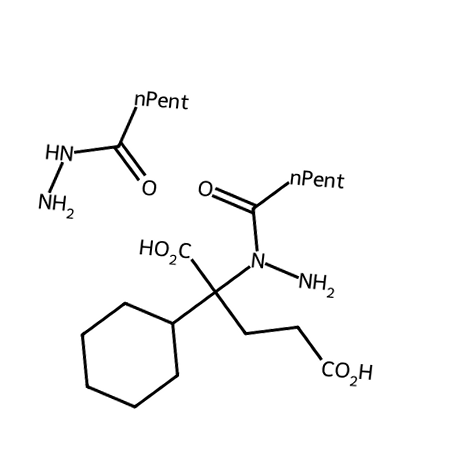 CCCCCC(=O)N(N)C(CCC(=O)O)(C(=O)O)C1CCCCC1.CCCCCC(=O)NN